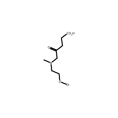 CCOCCN(C)CC(=O)CCC(=O)O